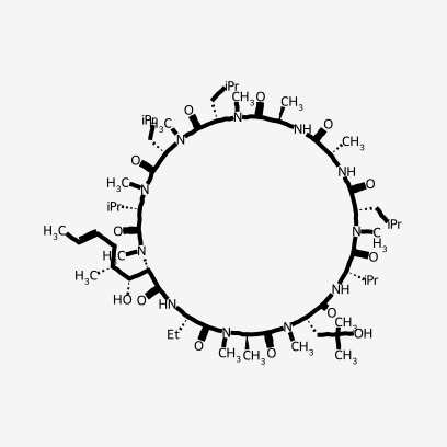 C/C=C/C[C@@H](C)[C@@H](O)[C@H]1C(=O)N[C@@H](CC)C(=O)N(C)[C@H](C)C(=O)N(C)[C@@H](CC(C)(C)O)C(=O)N[C@@H](C(C)C)C(=O)N(C)[C@@H](CC(C)C)C(=O)N[C@@H](C)C(=O)N[C@H](C)C(=O)N(C)[C@@H](CC(C)C)C(=O)N(C)[C@@H](CC(C)C)C(=O)N(C)[C@@H](C(C)C)C(=O)N1C